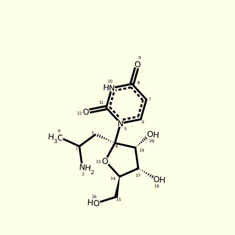 CC(N)C[C@@]1(n2ccc(=O)[nH]c2=O)O[C@H](CO)[C@@H](O)[C@H]1O